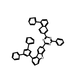 c1ccc(-c2cc(-c3ccccc3)cc(-c3cccc4oc5cc(-c6nc(-c7ccccc7)nc(-c7ccc8c(-c9ccccc9)cccc8c7)n6)ccc5c34)c2)cc1